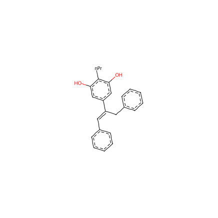 CCCc1c(O)cc(C(=Cc2ccccc2)Cc2ccccc2)cc1O